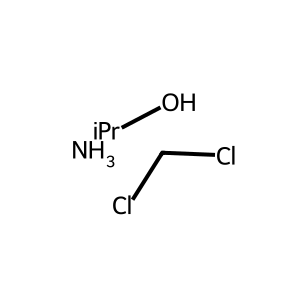 CC(C)O.ClCCl.N